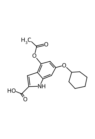 CC(=O)Oc1cc(OC2CCCCC2)cc2[nH]c(C(=O)O)cc12